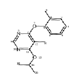 Cc1ccccc1Oc1ncnc(OC(C)C)c1C